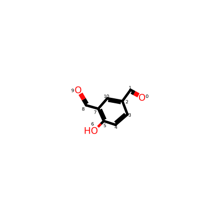 O=Cc1ccc(O)c(C=O)c1